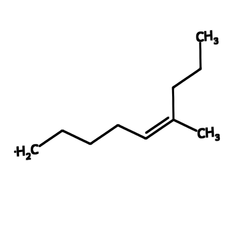 [CH2]CCCC=C(C)CCC